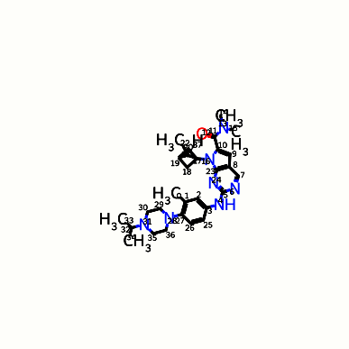 Cc1cc(Nc2ncc3cc(C(=O)N(C)C)n(C45CC(C4)[C@H]5C)c3n2)ccc1N1CCN(C(C)C)CC1